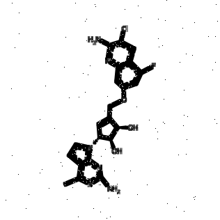 Cc1nc(N)nc2c1ccn2[C@@H]1C=C(COc2cc(F)c3cc(Cl)c(N)nc3c2)[C@@H](O)[C@H]1O